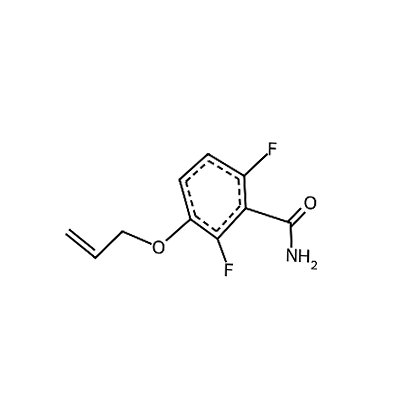 C=CCOc1ccc(F)c(C(N)=O)c1F